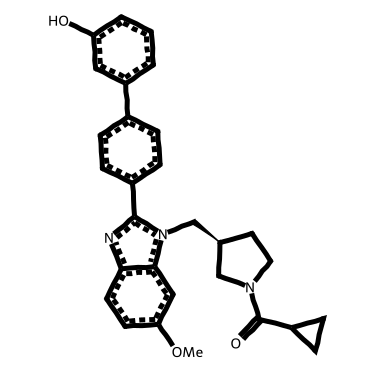 COc1ccc2nc(-c3ccc(-c4cccc(O)c4)cc3)n(C[C@H]3CCN(C(=O)C4CC4)C3)c2c1